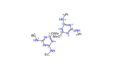 CCNc1nc(NC(C)CC)nc(OC)n1.COc1nc(NC(C)C)nc(NC(C)C)n1